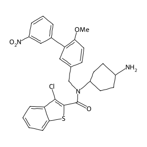 COc1ccc(CN(C(=O)c2sc3ccccc3c2Cl)C2CCC(N)CC2)cc1-c1cccc([N+](=O)[O-])c1